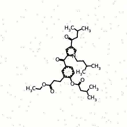 CCOC(=O)CCc1cc(C(=O)c2cc(C(=O)CC(C)C)cn2CCC(C)C)ccc1OC(=O)CC(C)C